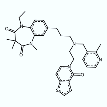 CCN1C(=O)C(C)(C)C(=O)N(C)c2cc(CCCN(CCn3ccc4sccc4c3=O)Cc3cccnc3C)ccc21